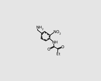 CCC(=O)C(=O)Nc1ccc(CN)cc1[N+](=O)[O-]